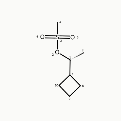 C[C@@H](OS(C)(=O)=O)C1CCC1